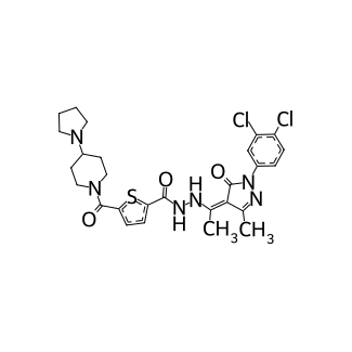 CC1=NN(c2ccc(Cl)c(Cl)c2)C(=O)/C1=C(/C)NNC(=O)c1ccc(C(=O)N2CCC(N3CCCC3)CC2)s1